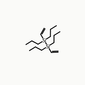 C=C[Si](CCC)(CCC)[Si](C=C)(CCC)CCC